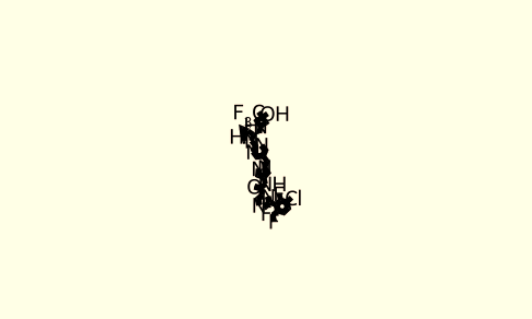 O=C(Nc1cnn(Cc2cnc(N3C[C@H]4C[C@H]4[C@H]3CN3CC(O)(C(F)(F)F)C3)nc2)c1)c1cncc(-c2c(C(F)F)ccc(Cl)c2F)n1